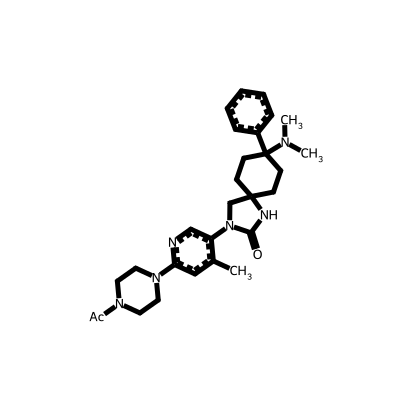 CC(=O)N1CCN(c2cc(C)c(N3CC4(CCC(c5ccccc5)(N(C)C)CC4)NC3=O)cn2)CC1